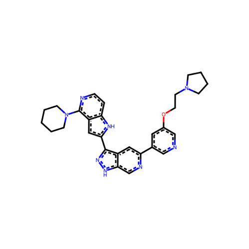 c1cc2[nH]c(-c3n[nH]c4cnc(-c5cncc(OCCN6CCCC6)c5)cc34)cc2c(N2CCCCC2)n1